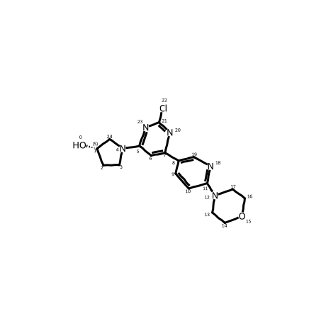 O[C@H]1CCN(c2cc(-c3ccc(N4CCOCC4)nc3)nc(Cl)n2)C1